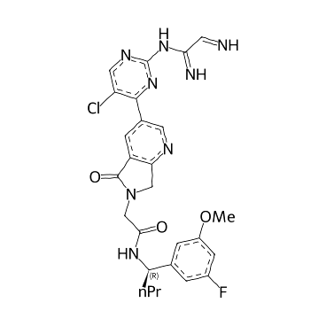 CCC[C@@H](NC(=O)CN1Cc2ncc(-c3nc(NC(=N)C=N)ncc3Cl)cc2C1=O)c1cc(F)cc(OC)c1